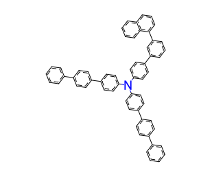 c1ccc(-c2ccc(-c3ccc(N(c4ccc(-c5ccc(-c6ccccc6)cc5)cc4)c4ccc(-c5cccc(-c6cccc7ccccc67)c5)cc4)cc3)cc2)cc1